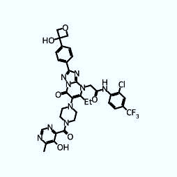 CCc1c(N2CCN(C(=O)c3ncnc(C)c3O)CC2)c(=O)n2nc(-c3ccc(C4(O)COC4)cc3)nc2n1CC(=O)Nc1ccc(C(F)(F)F)cc1Cl